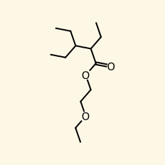 CCOCCOC(=O)C(CC)C(CC)CC